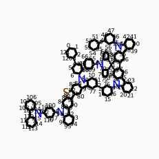 c1ccc(-c2ccc(-n3c4ccc(-c5cccc(-n6c7ccccc7c7cc8c(cc76)C6(c7cc9c(cc7-8)c7ccccc7n9-c7cccc(-c8ccccc8)c7)c7ccccc7N(c7ccccc7)c7ccccc76)c5)cc4c4cc5c(cc43)sc3cc4c(cc35)c3ccccc3n4-c3ccc(-n4c5ccccc5c5ccccc54)cc3)cc2)cc1